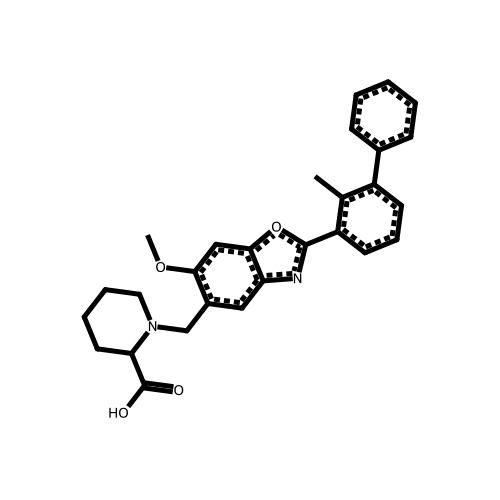 COc1cc2oc(-c3cccc(-c4ccccc4)c3C)nc2cc1CN1CCCCC1C(=O)O